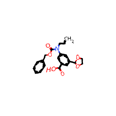 C=CCN(C(=O)OCc1ccccc1)c1cc(C(=O)O)cc(C2OCCO2)c1